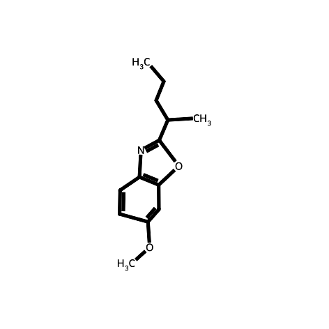 CCCC(C)c1nc2ccc(OC)cc2o1